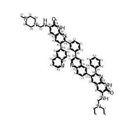 CCN(CC)CNc1cc2cc(-c3ccc4ncc(-c5cccc(-c6nc7[nH]c(=O)c(NCN8CCN(C)CC8)cc7cc6-c6ccc7ncccc7c6)c5)cc4c3)c(-c3ccccc3)nc2[nH]c1=O